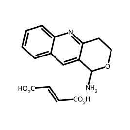 NC1OCCc2nc3ccccc3cc21.O=C(O)C=CC(=O)O